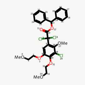 COCCOc1cc(C(Cl)(Cl)C(=O)OC(c2ccccc2)c2ccccc2)c(OC)c(Cl)c1OCCOC